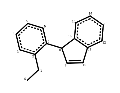 CCc1ccccc1[C]1C=Cc2ccccc21